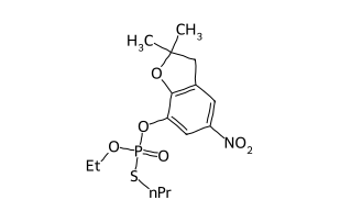 CCCSP(=O)(OCC)Oc1cc([N+](=O)[O-])cc2c1OC(C)(C)C2